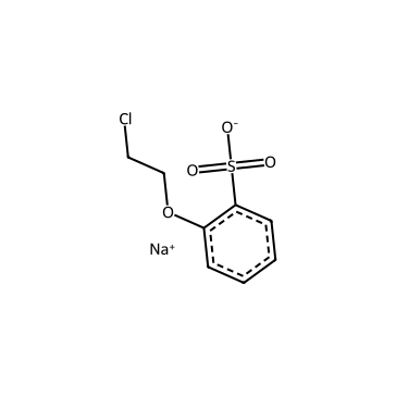 O=S(=O)([O-])c1ccccc1OCCCl.[Na+]